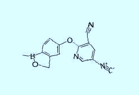 [C-]#[N+]c1cnc(Oc2ccc3c(c2)COB3C)c(C#N)c1